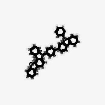 C1=CCCC(n2c3c(c4ccc(-c5ccc(-n6c7ccccc7c7c8oc9ccccc9c8ccc76)cc5)cc42)CCC=C3)=C1